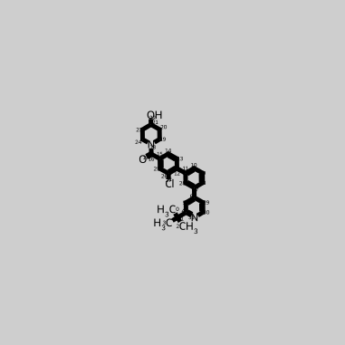 CC(C)(C)c1cc(-c2cccc(-c3ccc(C(=O)N4CCC(O)CC4)cc3Cl)c2)ccn1